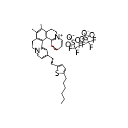 CCCCCCc1ccc(C=Cc2cc[n+]3c(c2)-c2c(c(C)c(C)c4c2-c2c5ccccc5cc[n+]2CC4)CC3)s1.O=S(=O)([O-])C(F)(F)F.O=S(=O)([O-])C(F)(F)F